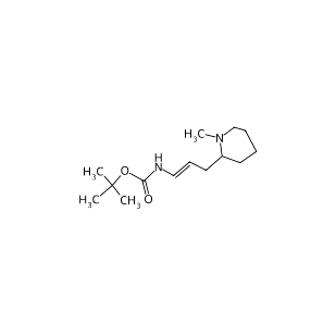 CN1CCCCC1CC=CNC(=O)OC(C)(C)C